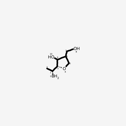 B[C@H](C)[C@H]1OCC(CO)C1O